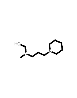 CN(CO)CCCN1CCCCC1